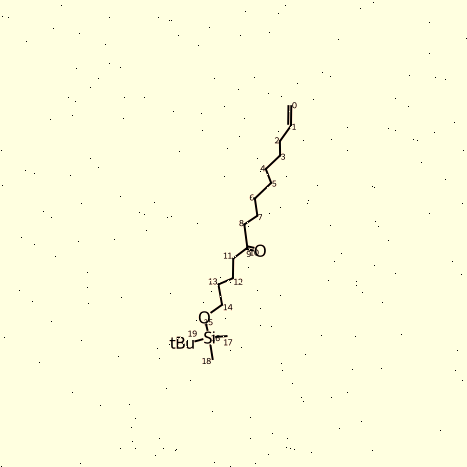 C=CCCCCCCCC(=O)CCCCO[Si](C)(C)C(C)(C)C